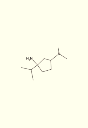 CC(C)C1(N)CCC(N(C)C)C1